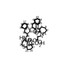 COC(=O)CCN1CCCC[C@H](NC(=O)[C@H](CC[C@@H](CNC2CCSC3CCCC(C(=O)O)N3C2=O)Cc2ccccc2)Cc2ccccc2)C1=O